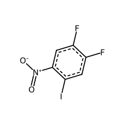 O=[N+]([O-])c1cc(F)c(F)cc1I